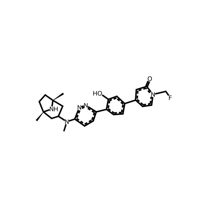 CN(c1ccc(-c2ccc(-c3ccn(CF)c(=O)c3)cc2O)nn1)C1C[C@]2(C)CC[C@](C)(C1)N2